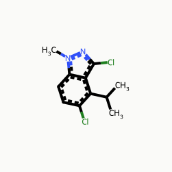 CC(C)c1c(Cl)ccc2c1c(Cl)nn2C